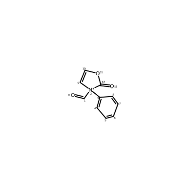 O=C[N+]1(c2ccccc2)C=COC1=O